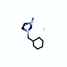 C[n+]1ccn(CC2CCCCC2)c1.[I-]